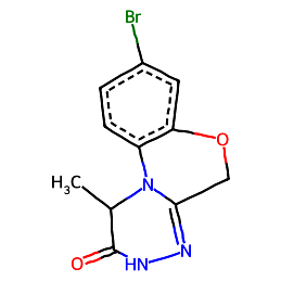 CC1C(=O)NN=C2COc3cc(Br)ccc3N21